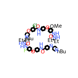 CCCCN1CCC(N(C)c2ccc(C(=O)Nc3ccc(Oc4ccc(NC(=O)NC(CC)CC)c(F)c4)cc3)cc2)CC1.CCCCN1CCC(Oc2ccc(C(=O)Nc3ccc(Oc4ccc(NC(=O)NC(CC)CC)cc4OC)cc3)c(Cl)c2)CC1